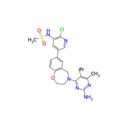 Cc1nc(N)nc(N2CCOc3ccc(-c4cnc(Cl)c(NS(C)(=O)=O)c4)cc3C2)c1C(C)C